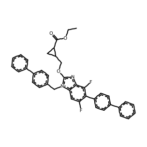 CCOC(=O)C1CC1COc1nc2c(F)c(-c3ccc(-c4ccccc4)cc3)c(F)cc2n1Cc1ccc(-c2ccccc2)cc1